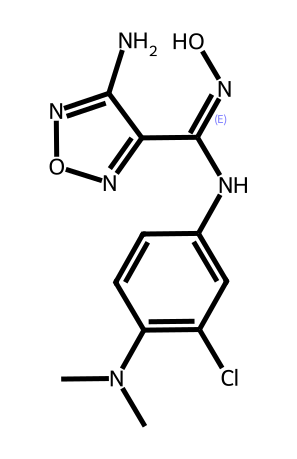 CN(C)c1ccc(N/C(=N/O)c2nonc2N)cc1Cl